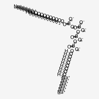 O.O.O.O.O.O.O.O.O.O.O.O.O.O.O.O.O.O.O.O.[Na+].[Na+].[Na+].[Na+].[Na+].[Na+].[Na+].[Na+].[Na+].[Na+].[Na+].[Na+].[O-]B([O-])[O-].[O-]B([O-])[O-].[O-]B([O-])[O-].[O-]B([O-])[O-]